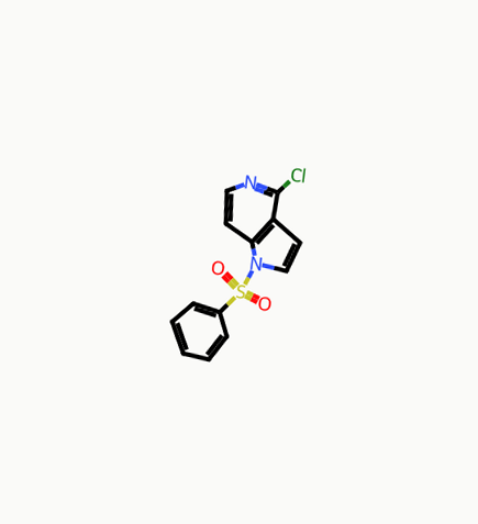 O=S(=O)(c1ccccc1)n1ccc2c(Cl)nccc21